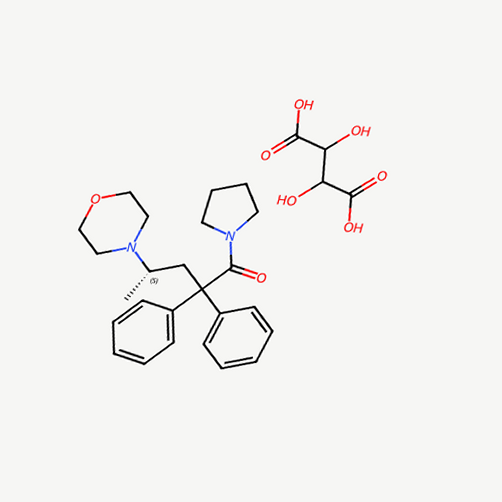 C[C@@H](CC(C(=O)N1CCCC1)(c1ccccc1)c1ccccc1)N1CCOCC1.O=C(O)C(O)C(O)C(=O)O